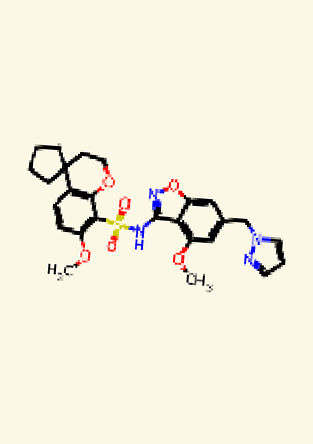 COc1ccc2c(c1S(=O)(=O)Nc1noc3cc(Cn4cccn4)cc(OC)c13)OCCC21CCCC1